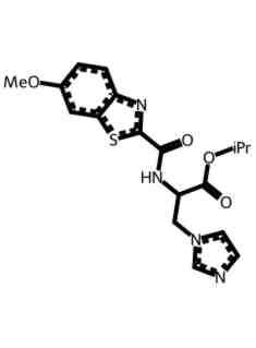 COc1ccc2nc(C(=O)NC(Cn3ccnc3)C(=O)OC(C)C)sc2c1